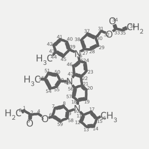 C=CC(=O)COc1ccc(N(c2cccc(C)c2)c2ccc3c4ccc(N(c5ccc(COC(=O)C=C)cc5)c5cccc(C)c5)cc4n(-c4ccc(C)cc4)c3c2)cc1